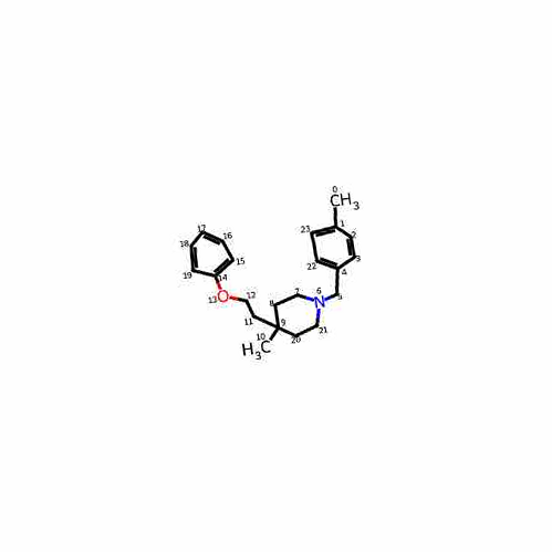 Cc1ccc(CN2CCC(C)(CCOc3ccccc3)CC2)cc1